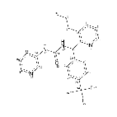 CCCc1cccnc1C(NC(=O)Nc1cccnc1)c1ccc(C(F)(F)F)cc1